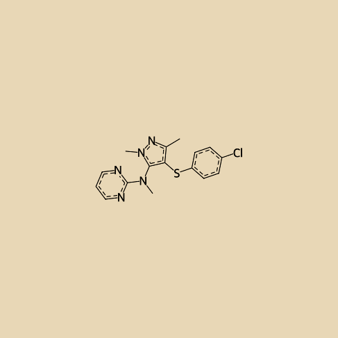 Cc1nn(C)c(N(C)c2ncccn2)c1Sc1ccc(Cl)cc1